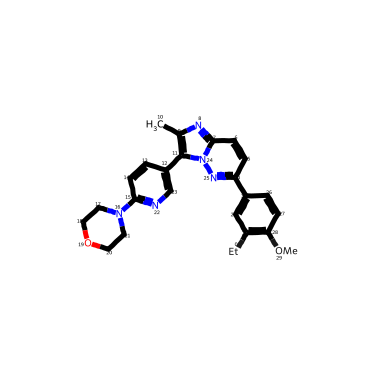 CCc1cc(-c2ccc3nc(C)c(-c4ccc(N5CCOCC5)nc4)n3n2)ccc1OC